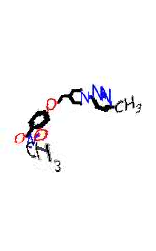 Cc1ccc(N2CCC(CCOc3ccc4c(=O)n(C)oc4c3)CC2)nn1